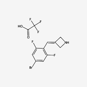 Fc1cc(Br)cc(F)c1C=C1CNC1.O=C(O)C(F)(F)F